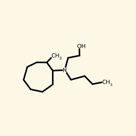 CCCCN(CCO)C1CCCCCCC1C